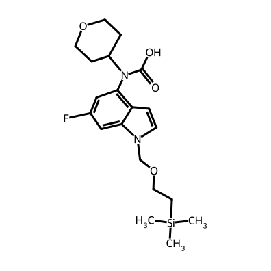 C[Si](C)(C)CCOCn1ccc2c(N(C(=O)O)C3CCOCC3)cc(F)cc21